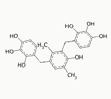 Cc1cc(Cc2ccc(O)c(O)c2O)c(C)c(Cc2ccc(O)c(O)c2O)c1O